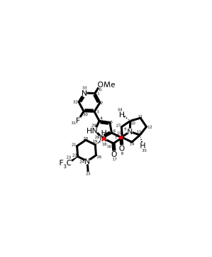 COc1cc(-c2cc(C(=O)N3[C@@H]4CC[C@H]3CC(C(=O)N[C@H]3CC[C@H](C(F)(F)F)N(C)C3)C4)n[nH]2)c(F)cn1